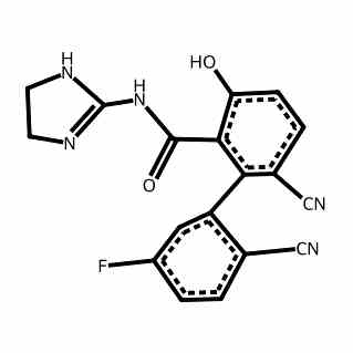 N#Cc1ccc(F)cc1-c1c(C#N)ccc(O)c1C(=O)NC1=NCCN1